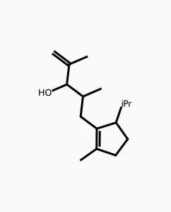 C=C(C)C(O)C(C)CC1=C(C)CCC1C(C)C